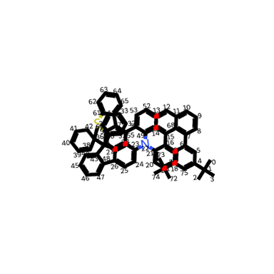 CC(C)(C)c1cc(-c2cccc3cccc(-c4ccccc4N(c4ccc5c(c4)C(c4ccccc4)(C4(C)C=CC=CC4)c4ccccc4-5)c4ccccc4-c4cccc5sc6ccccc6c45)c23)cc(C(C)(C)C)c1